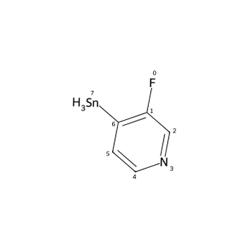 Fc1cncc[c]1[SnH3]